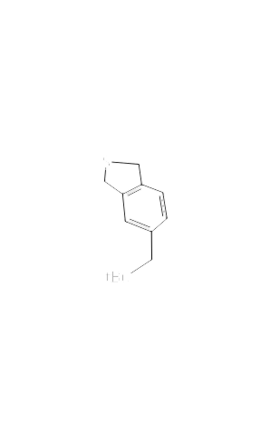 CC(C)(C)Cc1ccc2c(c1)CSC2